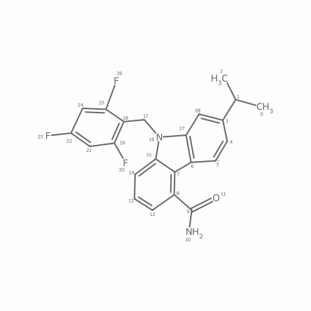 CC(C)c1c[c]c2c3c(C(N)=O)cccc3n(Cc3c(F)cc(F)cc3F)c2c1